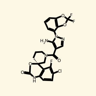 Nc1c(C(=O)N2CCC[C@@]3(C2)OC(=O)Nc2ccc(Cl)c(F)c23)cnn1-c1cccc2c1OC(F)(F)O2